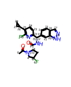 CC(=O)N1C[C@H](F)C[C@H]1C(=O)N[C@@H](c1ccc2cn[nH]c2c1)c1ccc(C2CC2)c(F)n1